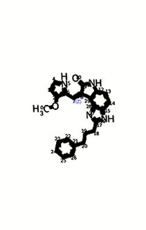 COc1cc[nH]c1/C=C1\C(=O)Nc2ccc3[nH]c(CCCc4ccccc4)nc3c21